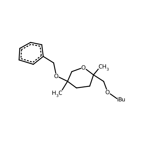 CCC(C)OCC1(C)CCC(C)(OCc2ccccc2)CO1